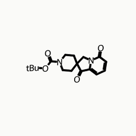 CC(C)(C)OC(=O)N1CCC2(CC1)Cn1c(cccc1=O)C2=O